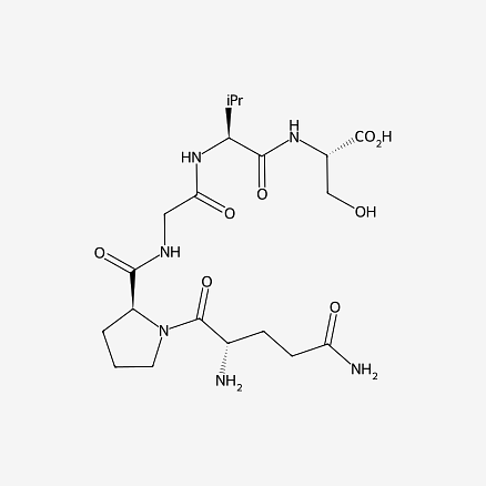 CC(C)[C@H](NC(=O)CNC(=O)[C@@H]1CCCN1C(=O)[C@@H](N)CCC(N)=O)C(=O)N[C@@H](CO)C(=O)O